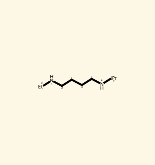 [CH2]CNCCCCNC(C)C